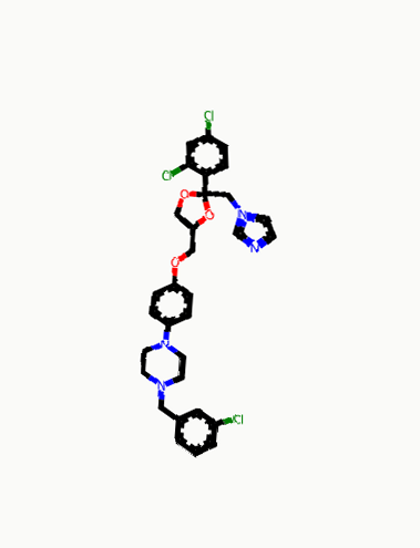 Clc1cccc(CN2CCN(c3ccc(OCC4COC(Cn5ccnc5)(c5ccc(Cl)cc5Cl)O4)cc3)CC2)c1